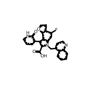 O=C(O)c1c(-c2ccc[nH]c2=O)c2c3occc3c(F)cc2n1Cc1ccnc2ccccc12